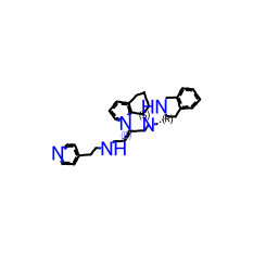 C(=C\CN(C[C@H]1Cc2ccccc2CN1)[C@H]1CCCc2cccnc21)/CNCCc1ccncc1